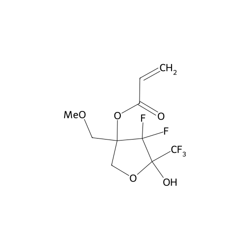 C=CC(=O)OC1(COC)COC(O)(C(F)(F)F)C1(F)F